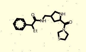 CCC(C(=O)NCC1CNC(C(=O)N2CCSC2)C1)c1ccccc1